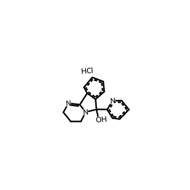 Cl.OC1(c2ccccn2)c2ccccc2C2=NCCCN21